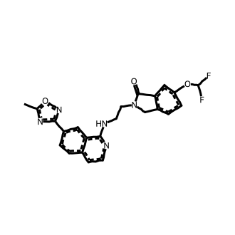 Cc1nc(-c2ccc3ccnc(NCCN4Cc5ccc(OC(F)F)cc5C4=O)c3c2)no1